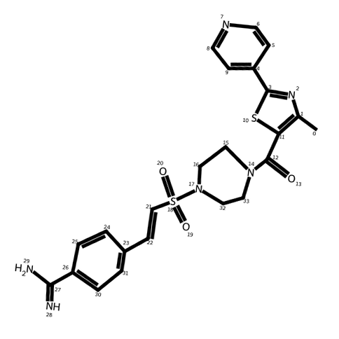 Cc1nc(-c2ccncc2)sc1C(=O)N1CCN(S(=O)(=O)C=Cc2ccc(C(=N)N)cc2)CC1